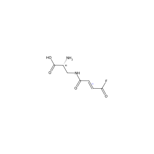 N[C@H](CNC(=O)/C=C/C(=O)F)C(=O)O